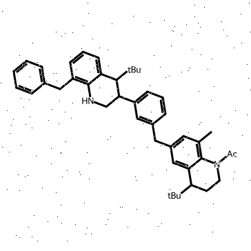 CC(=O)N1CCC(C(C)(C)C)c2cc(Cc3cccc(C4CNc5c(Cc6ccccc6)cccc5C4C(C)(C)C)c3)cc(C)c21